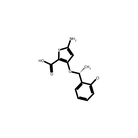 C[C@@H](Oc1cc(N)sc1C(=O)O)c1ccccc1Cl